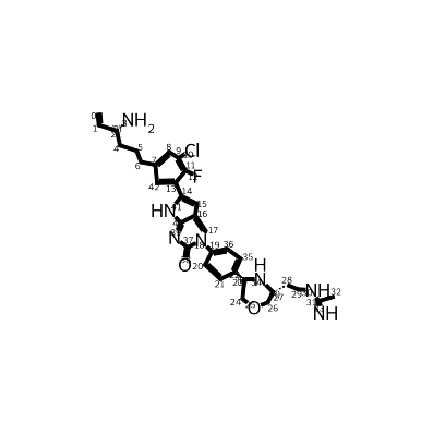 C=C[C@H](N)CCCc1cc(Cl)c(F)c(-c2cc3cn(-c4ccc([C@@H]5COC[C@@H](CCNC(C)=N)N5)cc4)c(=O)nc3[nH]2)c1